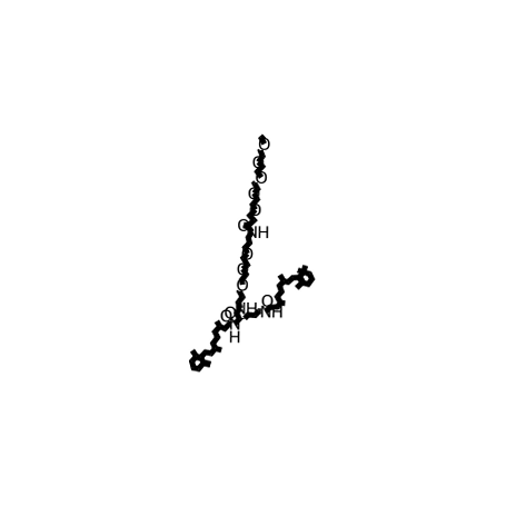 C=C1CCCC(C)=C1CCC(C)CCCC(C)CC(=O)N[C@@H](CCCCNC(=O)CC(C)CCCC(C)CCC1=C(C)CCCC1(C)C)C(=O)NCCCOCCOCCOCCCNC(=O)CCOCCOCCOCCOCCOCC